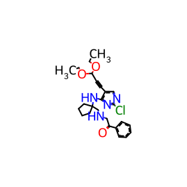 CCOC(C#Cc1cnc(Cl)nc1NC1(CNCC(=O)c2ccccc2)CCCC1)OCC